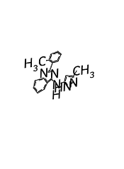 Cc1cc(Nc2nc(-c3ccccc3C)nc3ccccc23)[nH]n1